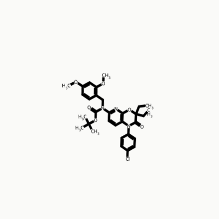 CCC1(CC)Oc2nc(N(Cc3ccc(OC)cc3OC)C(=O)OC(C)(C)C)ccc2N(c2ccc(Cl)cc2)C1=O